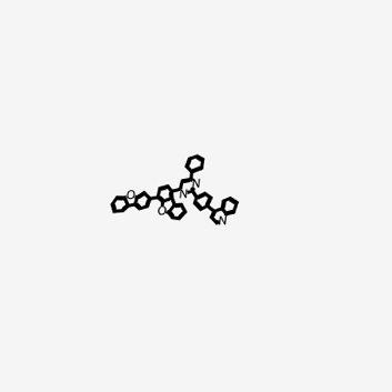 c1ccc(-c2cc(-c3ccc(-c4ccc5c(c4)oc4ccccc45)c4oc5ccccc5c34)nc(-c3ccc(-c4ccnc5ccccc45)cc3)n2)cc1